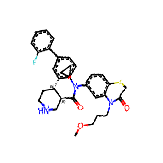 COCCCN1C(=O)CSc2ccc(N(C(=O)[C@H]3CNCC[C@@H]3c3cccc(-c4ccccc4F)c3)C3CC3)cc21